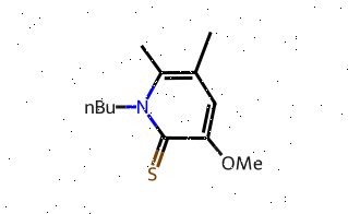 CCCCn1c(C)c(C)cc(OC)c1=S